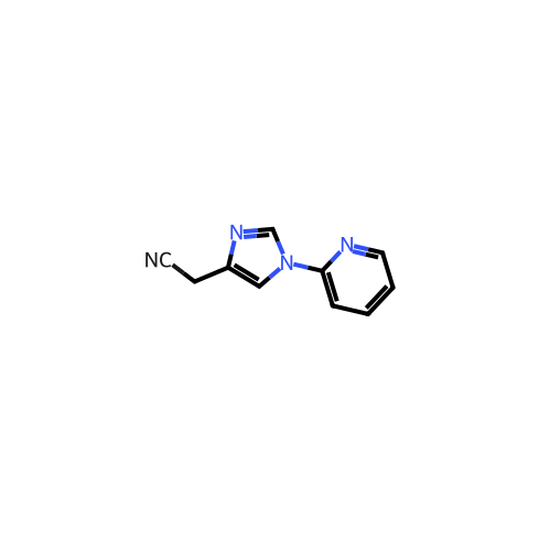 N#CCc1cn(-c2ccccn2)cn1